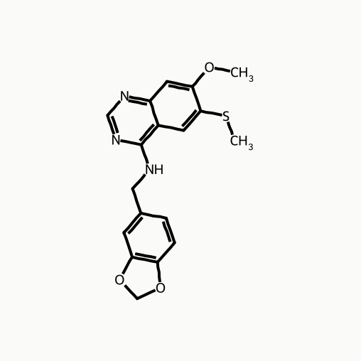 COc1cc2ncnc(NCc3ccc4c(c3)OCO4)c2cc1SC